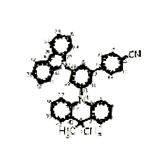 CC1(C)c2ccccc2N(c2cc(-c3ccc(C#N)cc3)cc(-n3c4ccccc4c4ccccc43)c2)c2ccccc21